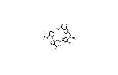 Cc1cc(CN(C)c2ccc(OCc3c(C(C)C)cnn3-c3ccccc3OC(F)(F)F)nc2C)ccc1C(=O)O